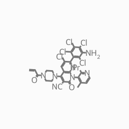 C=CC(=O)N1CCN(c2c(C#N)c(=O)n(-c3c(C)ccnc3C(C)C)c3nc(-c4c(Cl)c(N)c(Cl)c(Cl)c4Cl)c(Cl)cc23)CC1